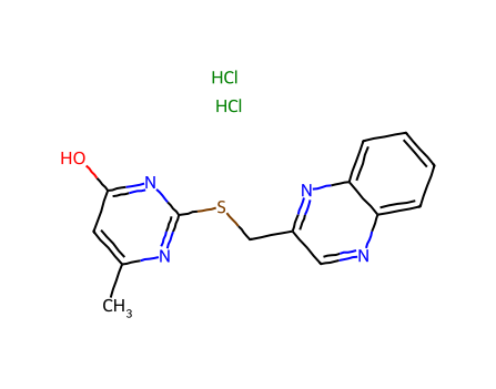 Cc1cc(O)nc(SCc2cnc3ccccc3n2)n1.Cl.Cl